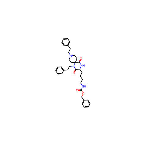 O=C(NCCCCC1NC(=O)C2(CCN(CCc3ccccc3)CC2)N(CCc2ccccc2)C1=O)OCc1ccccc1